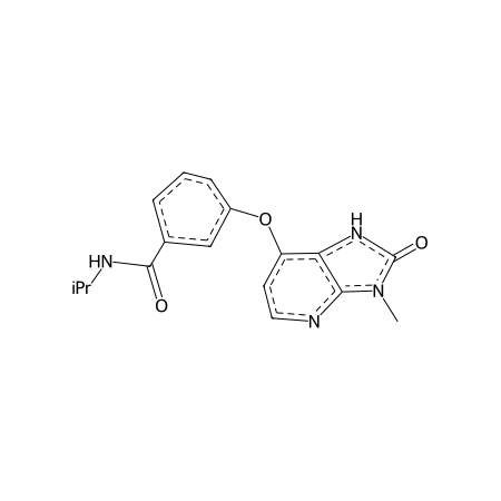 CC(C)NC(=O)c1cccc(Oc2ccnc3c2[nH]c(=O)n3C)c1